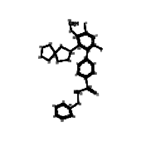 Cc1nc(C)c(-c2ccc(C(=O)NCc3ccccc3)cc2)c(N2CCC3(CCCC3)C2)c1CC(=O)O